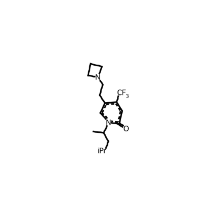 CC(C)CC(C)n1cc(CCN2CCC2)c(C(F)(F)F)cc1=O